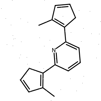 CC1=C(c2cccc(C3=C(C)C=CC3)n2)CC=C1